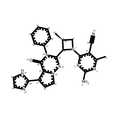 Cc1nc(N)nc(N2C[C@H](C)C2c2nn3ccc(-c4ncc[nH]4)c3c(=O)n2-c2ccccc2)c1C#N